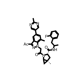 CC(=O)c1nn(CC(=O)N2C3C[C@]3(C)C[C@H]2C(=O)NC(C)Cc2ccccc2F)c2c(C)cc(-c3cnc(C)nc3)cc12